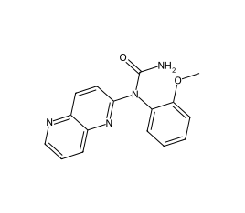 COc1ccccc1N(C(N)=O)c1ccc2ncccc2n1